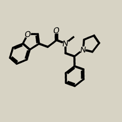 CN(CC(c1ccccc1)N1CCCC1)C(=O)Cc1coc2ccccc12